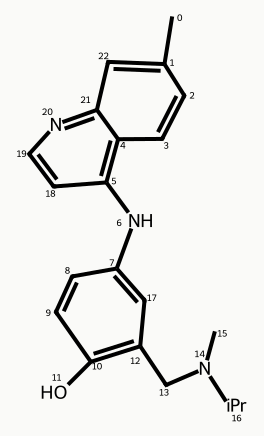 Cc1ccc2c(Nc3ccc(O)c(CN(C)C(C)C)c3)ccnc2c1